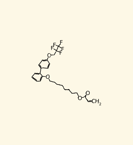 C=CC(=O)OCCCCCCCCOc1ccccc1-c1ccc(OCC(F)(F)C(F)(F)F)cc1